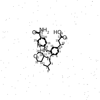 CC(C)CN(c1ccc([C@H](C)CC(=O)O)cc1Nc1ccc(C(N)=O)cn1)C1CCOCC1